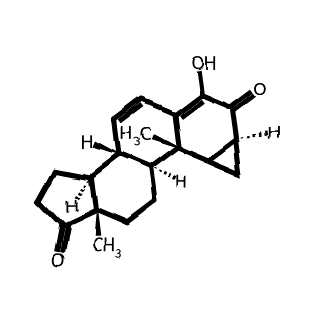 C[C@]12CC[C@H]3[C@@H](C=CC4=C(O)C(=O)[C@H]5CC5[C@@]43C)[C@@H]1CCC2=O